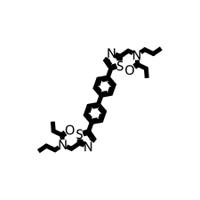 CCCN(Cc1ncc(-c2ccc(-c3ccc(-c4cnc(CN(CCC)C(=O)CC)s4)cc3)cc2)s1)C(=O)CC